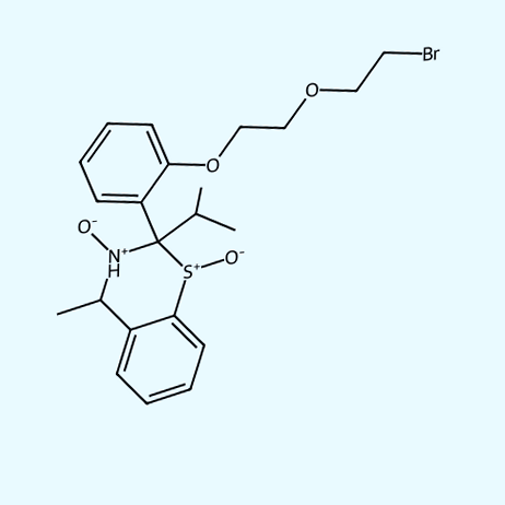 CC1c2ccccc2[S+]([O-])C(c2ccccc2OCCOCCBr)(C(C)C)[NH+]1[O-]